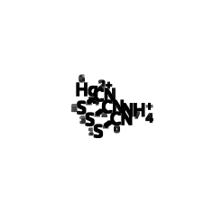 N#C[S-].N#C[S-].N#C[S-].[Hg+2].[NH4+]